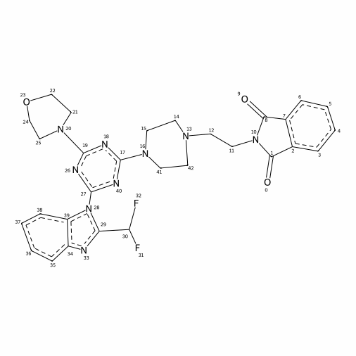 O=C1c2ccccc2C(=O)N1CCN1CCN(c2nc(N3CCOCC3)nc(-n3c(C(F)F)nc4ccccc43)n2)CC1